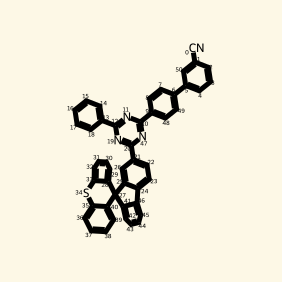 N#Cc1cccc(-c2ccc(-c3nc(-c4ccccc4)nc(-c4ccc5c(c4)C4(c6ccccc6Sc6ccccc64)c4ccccc4-5)n3)cc2)c1